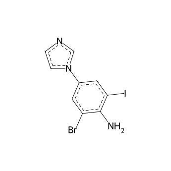 Nc1c(Br)cc(-n2ccnc2)cc1I